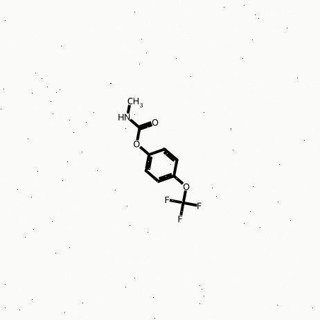 CNC(=O)Oc1ccc(OC(F)(F)F)cc1